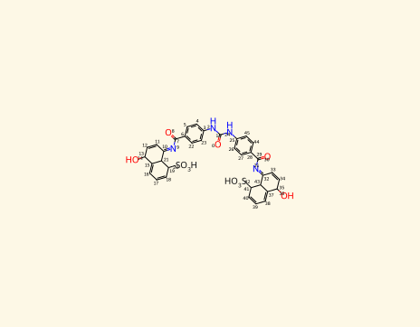 O=C(Nc1ccc(C(=O)N=C2C=CC(O)C3=CC=CC(S(=O)(=O)O)C32)cc1)Nc1ccc(C(=O)N=C2C=CC(O)C3=CC=CC(S(=O)(=O)O)C32)cc1